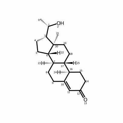 C[C@H](O)[C@H]1CC[C@H]2[C@@H]3CCC4=CC(=O)CC[C@@H]4[C@H]3CC[C@]12C